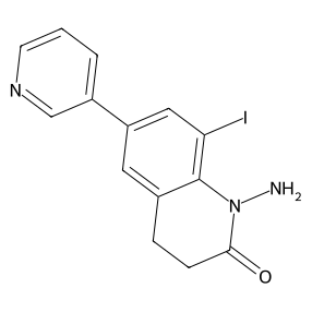 NN1C(=O)CCc2cc(-c3cccnc3)cc(I)c21